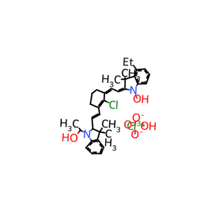 CCc1cccc2c1C(C)(C)C(=CC=C1CCCC(C=CC3N(C(C)O)c4ccccc4C3(C)C)=C1Cl)N2O.[O-][Cl+3]([O-])([O-])O